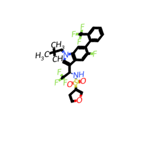 CC(C)(C)Cn1cc([C@H](NS(=O)(=O)C2CCOC2)C(F)(F)F)c2cc(F)c(-c3ccccc3C(F)(F)F)cc21